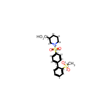 CS(=O)(=O)c1ccccc1-c1ccc(S(=O)(=O)N2CCCC(C(=O)O)C2)cc1